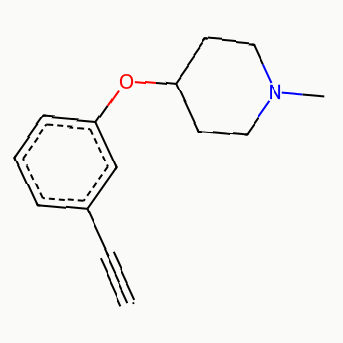 [C]#Cc1cccc(OC2CCN(C)CC2)c1